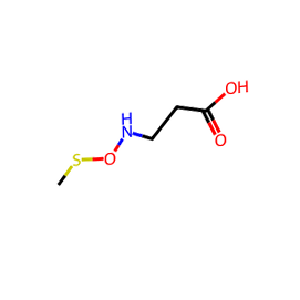 CSONCCC(=O)O